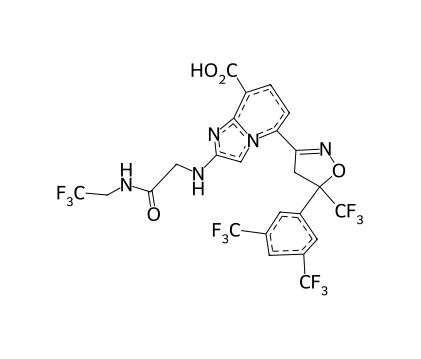 O=C(CNc1cn2c(C3=NOC(c4cc(C(F)(F)F)cc(C(F)(F)F)c4)(C(F)(F)F)C3)ccc(C(=O)O)c2n1)NCC(F)(F)F